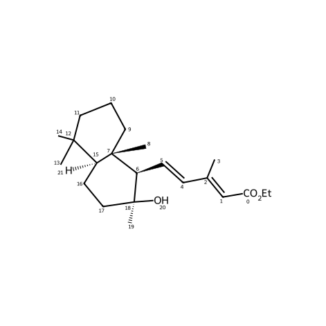 CCOC(=O)/C=C(C)/C=C/[C@@H]1[C@@]2(C)CCCC(C)(C)[C@@H]2CC[C@]1(C)O